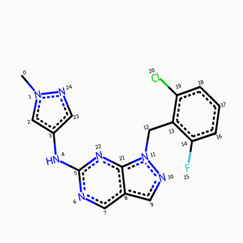 Cn1cc(Nc2ncc3cnn(Cc4c(F)cccc4Cl)c3n2)cn1